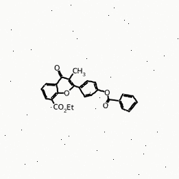 CCOC(=O)c1cccc2c(=O)c(C)c(-c3ccc(OC(=O)c4ccccc4)cc3)oc12